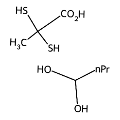 CC(S)(S)C(=O)O.CCCC(O)O